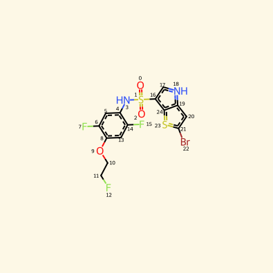 O=S(=O)(Nc1cc(F)c(OCCF)cc1F)c1c[nH]c2cc(Br)sc12